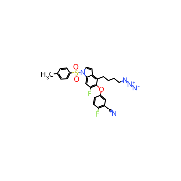 Cc1ccc(S(=O)(=O)n2ccc3c(CCCCN=[N+]=[N-])c(Oc4ccc(F)c(C#N)c4)c(F)cc32)cc1